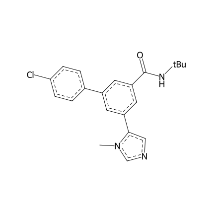 Cn1cncc1-c1cc(C(=O)NC(C)(C)C)cc(-c2ccc(Cl)cc2)c1